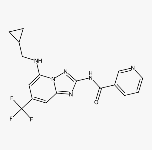 O=C(Nc1nc2cc(C(F)(F)F)cc(NCC3CC3)n2n1)c1cccnc1